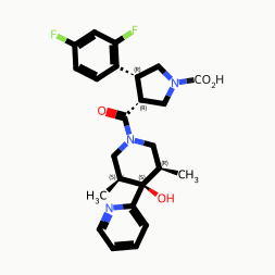 C[C@@H]1CN(C(=O)[C@H]2CN(C(=O)O)C[C@H]2c2ccc(F)cc2F)C[C@H](C)[C@@]1(O)c1ccccn1